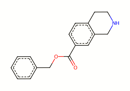 O=C(OCc1ccccc1)c1ccc2c(c1)CNCC2